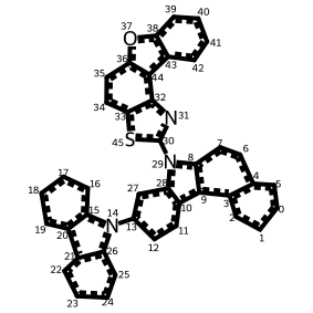 c1ccc2c(c1)ccc1c2c2ccc(-n3c4ccccc4c4ccccc43)cc2n1-c1nc2c(ccc3oc4ccccc4c32)s1